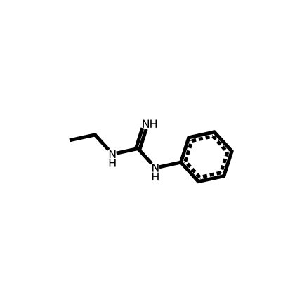 CCNC(=N)Nc1ccccc1